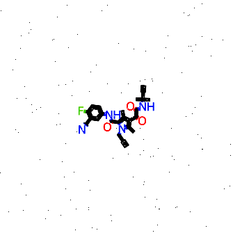 C#CCn1c(C)c(C(=O)C(=O)NC(C)(C)C#C)c(C)c1C(=O)Nc1ccc(F)c(C#N)c1